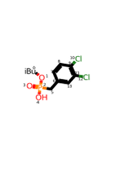 CCC(C)OP(=O)(O)Cc1ccc(Cl)c(Cl)c1